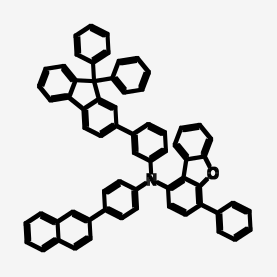 c1ccc(-c2ccc(N(c3ccc(-c4ccc5ccccc5c4)cc3)c3cccc(-c4ccc5c(c4)C(c4ccccc4)(c4ccccc4)c4ccccc4-5)c3)c3c2oc2ccccc23)cc1